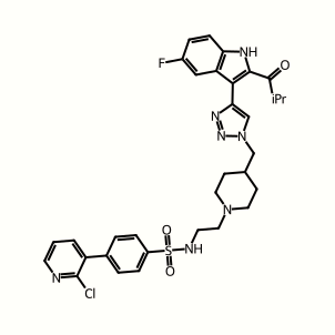 CC(C)C(=O)c1[nH]c2ccc(F)cc2c1-c1cn(CC2CCN(CCNS(=O)(=O)c3ccc(-c4cccnc4Cl)cc3)CC2)nn1